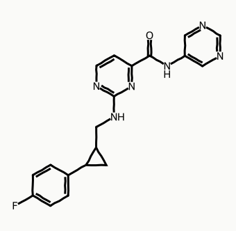 O=C(Nc1cncnc1)c1ccnc(NCC2CC2c2ccc(F)cc2)n1